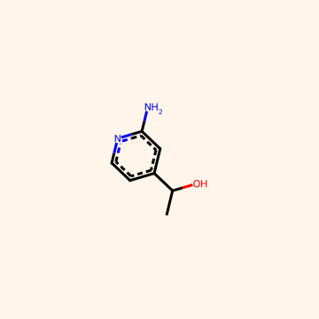 CC(O)c1ccnc(N)c1